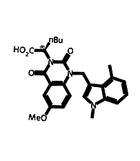 CCCC[C@H](C(=O)O)n1c(=O)c2cc(OC)ccc2n(Cc2cn(C)c3cccc(C)c23)c1=O